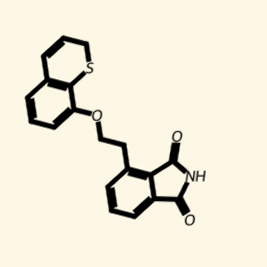 O=C1NC(=O)c2c(CCOc3cccc4c3SCC=C4)cccc21